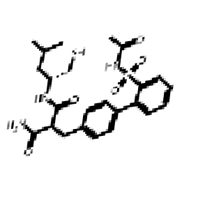 CC(=O)NS(=O)(=O)c1ccccc1-c1ccc(CC(C(N)=O)C(=O)N[C@@H](CS)CC(C)C)cc1